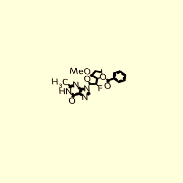 CO[C@]1(CI)O[C@@H](n2cnc3c(=O)[nH]c(C)nc32)[C@H](F)[C@@H]1OC(=O)c1ccccc1